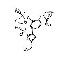 CC(C)Cc1cc(-c2ccc(Cn3ccnc3C(C)(C)C)c(F)c2)c(S(=O)(=O)NC(=O)OCC(C)(C)O)s1